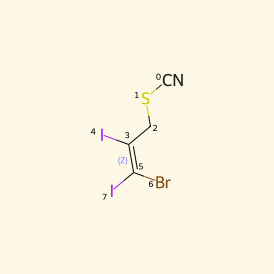 N#CSC/C(I)=C(\Br)I